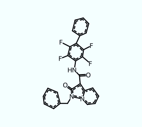 O=C(Nc1c(F)c(F)c(-c2ccccc2)c(F)c1F)c1c(=O)n(Cc2ccccc2)n2ccccc12